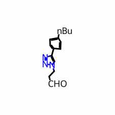 CCCCc1ccc(-c2cn(CCC=O)nn2)cc1